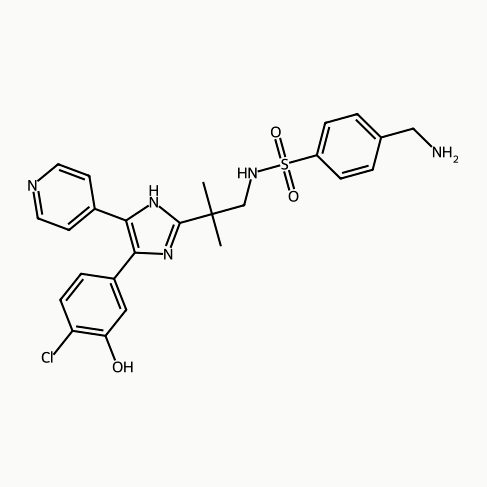 CC(C)(CNS(=O)(=O)c1ccc(CN)cc1)c1nc(-c2ccc(Cl)c(O)c2)c(-c2ccncc2)[nH]1